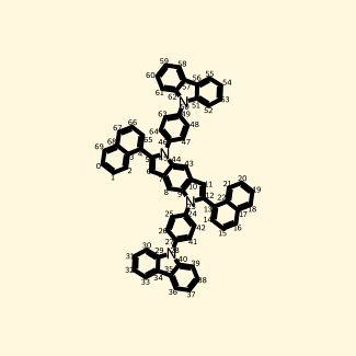 c1ccc2c(-c3cc4cc5c(cc(-c6cccc7ccccc67)n5-c5ccc(-n6c7ccccc7c7ccccc76)cc5)cc4n3-c3ccc(-n4c5ccccc5c5ccccc54)cc3)cccc2c1